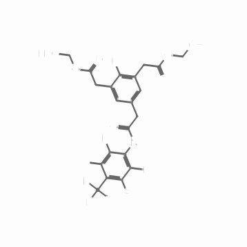 CCOC(=O)Cc1cc(CC(=O)Nc2c(F)c(F)c(C(F)(F)F)c(F)c2F)cc(CC(=O)OCC)c1F